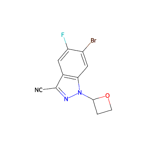 N#Cc1nn(C2CCO2)c2cc(Br)c(F)cc12